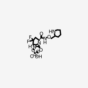 O=C(NOCC1CCCCN1)[C@@H]1CC(F)(F)[C@H]2CN1C(=O)N2OS(=O)(=O)O